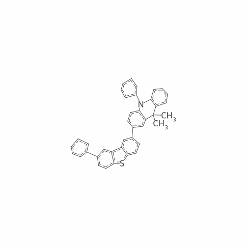 CC1(C)c2ccccc2N(c2ccccc2)c2ccc(-c3ccc4sc5ccc(-c6ccccc6)cc5c4c3)cc21